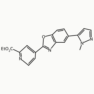 CCOC(=O)c1cc(-c2nc3cc(-c4ccnn4C)ccc3o2)ccn1